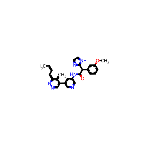 C=c1c(-c2cncc(NC(=O)C(c3cccc(OC)c3)c3ncc[nH]3)c2)cnn/c1=C/C=C\C